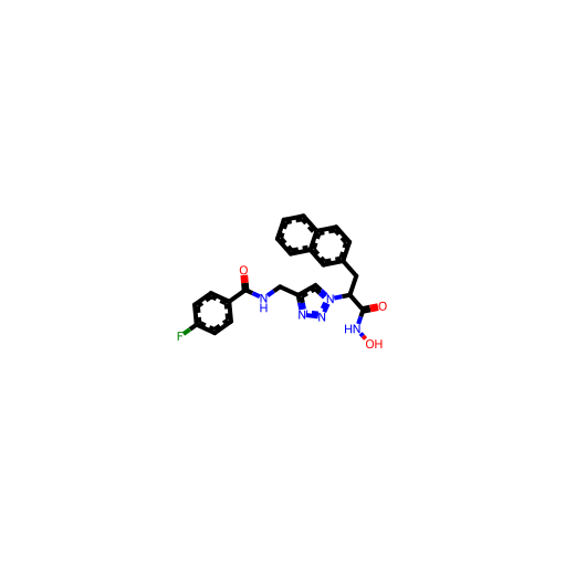 O=C(NCc1cn(C(Cc2ccc3ccccc3c2)C(=O)NO)nn1)c1ccc(F)cc1